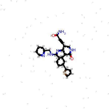 NC(=O)C#Cc1c[nH]c(=O)c2c1nc(NCc1ccccn1)c1ccc(-c3cccs3)cc12